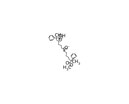 COC(=O)C(C)(CCCCC[S+]([O-])CCCCCC(C)(C(=O)O)c1ccccc1)c1ccccc1